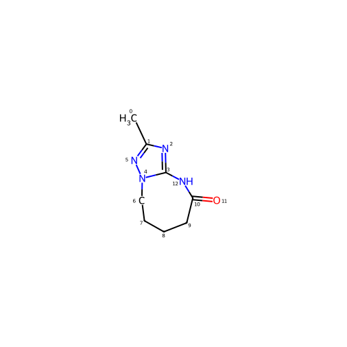 Cc1nc2n(n1)CCCCC(=O)N2